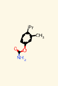 Cc1cc(OC(N)=O)ccc1C(C)C